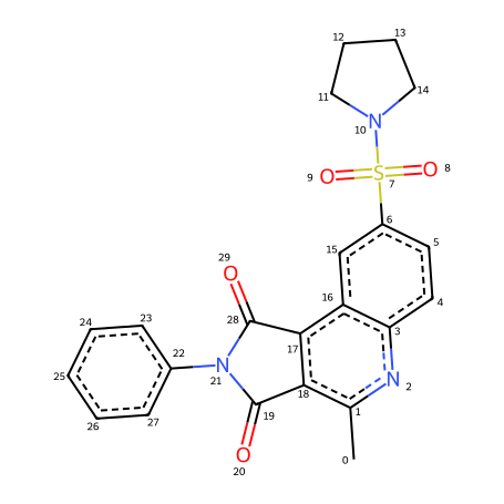 Cc1nc2ccc(S(=O)(=O)N3CCCC3)cc2c2c1C(=O)N(c1ccccc1)C2=O